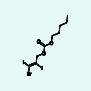 CCCCCOC(=O)OCC(I)=C(Br)I